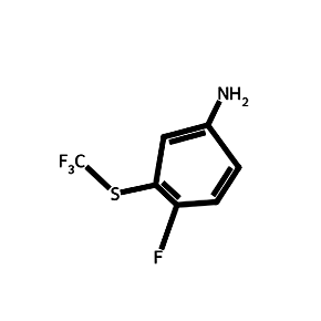 Nc1ccc(F)c(SC(F)(F)F)c1